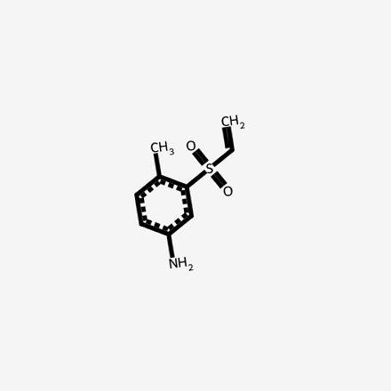 C=CS(=O)(=O)c1cc(N)ccc1C